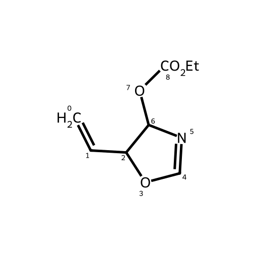 C=CC1OC=NC1OC(=O)OCC